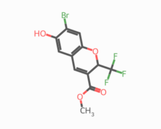 COC(=O)C1=Cc2cc(O)c(Br)cc2OC1C(F)(F)F